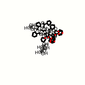 O=C(c1ccccc1)c1nc(N(C(=O)c2ccccc2)C(=O)c2ccccc2)c2nc(C(=O)c3ccccc3)n([C@]3(C(=O)c4ccccc4)O[C@](C(=O)c4ccccc4)(C(O)(C(=O)c4ccccc4)C(=O)c4ccccc4)[C@](O)(C(=O)c4ccccc4)[C@]3(O)C(=O)c3ccccc3)c2n1.O=P(O)(O)O.O=P(O)(O)O.O=P(O)(O)O